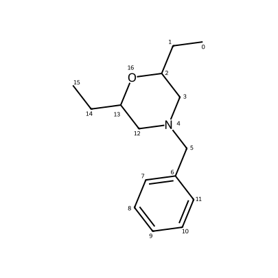 CCC1CN(Cc2ccccc2)CC(CC)O1